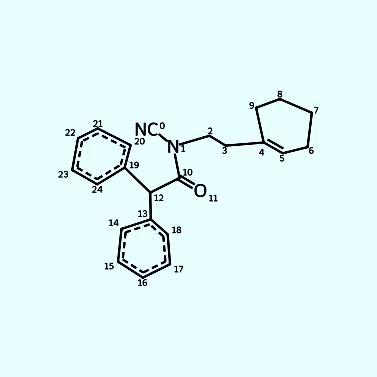 N#CN(CCC1=CCCCC1)C(=O)C(c1ccccc1)c1ccccc1